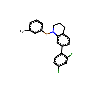 Fc1ccc(-c2ccc3c(c2)N(Sc2cccc(C(F)(F)F)c2)CCC3)c(F)c1